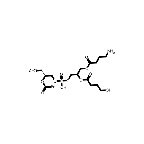 CC(=O)OC[C@H](COP(=O)(O)OCC(COC(=O)CCCN)OC(=O)CCCO)OC(=O)Br